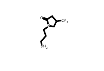 CC1CC(=O)N(CCCN)C1